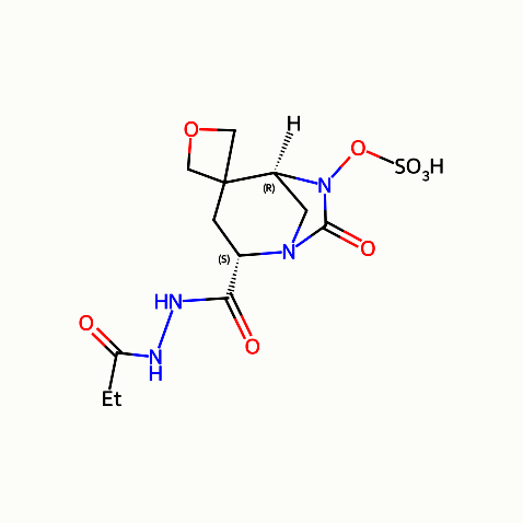 CCC(=O)NNC(=O)[C@@H]1CC2(COC2)[C@@H]2CN1C(=O)N2OS(=O)(=O)O